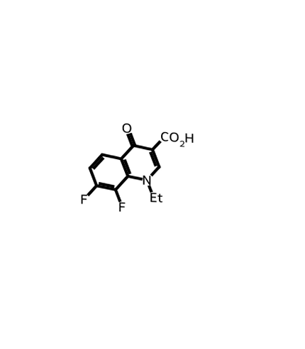 CCn1cc(C(=O)O)c(=O)c2ccc(F)c(F)c21